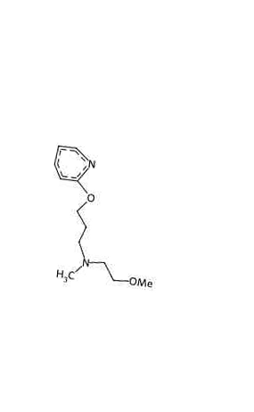 COCCN(C)CCCOc1ccccn1